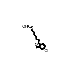 O=COCCCCCCc1occ2cc(Cl)ccc12